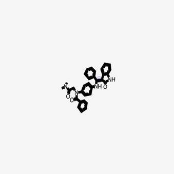 CN(C)C(=O)CN(C(=O)c1ccccc1)c1ccc(N/C(=C2\C(=O)Nc3ccccc32)c2ccccc2)cc1